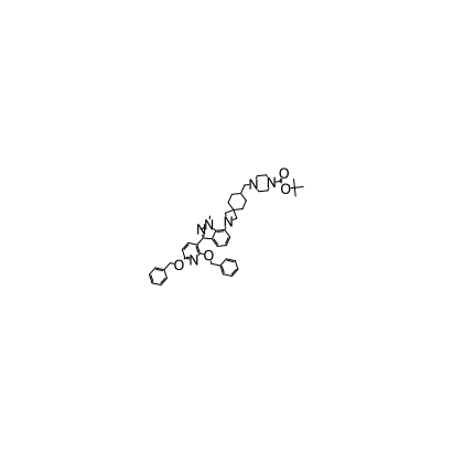 Cn1nc(-c2ccc(OCc3ccccc3)nc2OCc2ccccc2)c2cccc(N3CC4(CCC(CN5CCN(C(=O)OC(C)(C)C)CC5)CC4)C3)c21